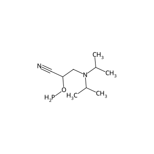 CC(C)N(CC(C#N)OP)C(C)C